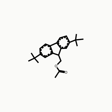 CC(=O)OCC1c2cc(C(C)(C)C)ccc2-c2ccc(C(C)(C)C)cc21